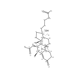 CC(=O)OCCC[C@]1(O)CC[C@H]2[C@@H]3[C@H](SC(C)=O)[C@H](C)C4=CC(=O)CC[C@]4(C)[C@H]3CC[C@@]21C